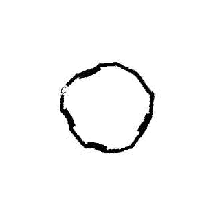 [C]1=CCC=CC=CCC=CCCC1